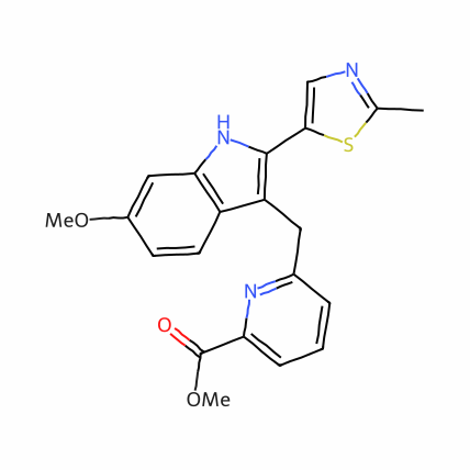 COC(=O)c1cccc(Cc2c(-c3cnc(C)s3)[nH]c3cc(OC)ccc23)n1